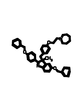 CC1(Cc2ccc(OCCN3CCCCCC3)cc2)C(c2ccc(OCc3ccccc3)cc2)=Nc2ccc(OCc3ccccc3)cc21